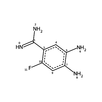 N=C(N)c1cc(N)c(N)cc1F